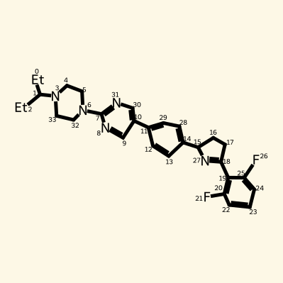 CCC(CC)N1CCN(c2ncc(-c3ccc(C4CCC(c5c(F)cccc5F)=N4)cc3)cn2)CC1